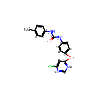 CC(C)(C)c1ccc(NC(=O)Nc2ccc(Oc3cc(Cl)ncn3)cc2)cc1